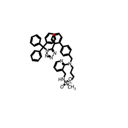 CCCCN(Cc1ccc(-c2ccccc2-c2nnnn2C(c2ccccc2)(c2ccccc2)c2ccccc2)cc1)c1ncccc1CNS(C)(=O)=O